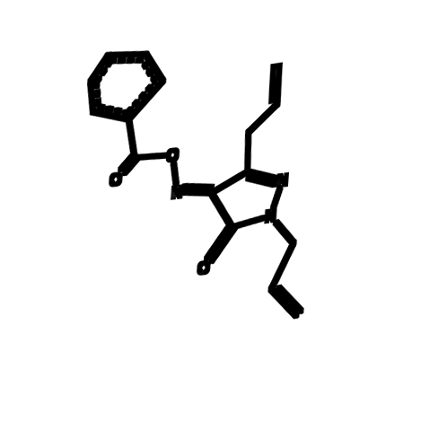 C=CCC1=NN(CC=C)C(=O)/C1=N/OC(=O)c1ccccc1